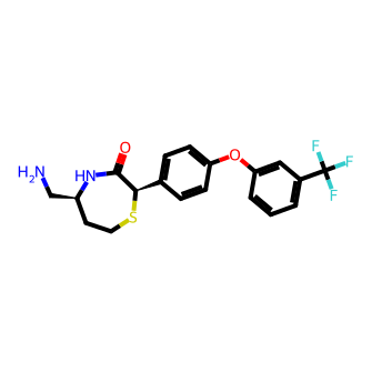 NC[C@@H]1CCS[C@H](c2ccc(Oc3cccc(C(F)(F)F)c3)cc2)C(=O)N1